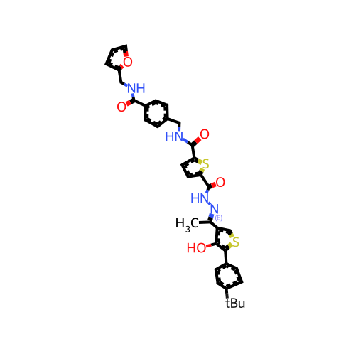 C/C(=N\NC(=O)c1ccc(C(=O)NCc2ccc(C(=O)NCc3ccco3)cc2)s1)c1csc(-c2ccc(C(C)(C)C)cc2)c1O